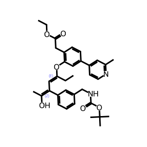 CCOC(=O)Cc1ccc(-c2ccnc(C)c2)cc1O/C(=C/C(=C(\C)O)c1cccc(CNC(=O)OC(C)(C)C)c1)CC